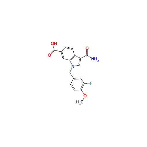 COc1ccc(Cn2cc(C(N)=O)c3ccc(C(=O)O)cc32)cc1F